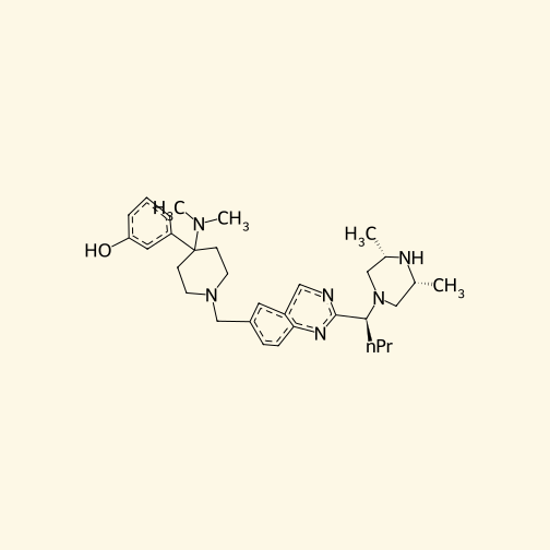 CCC[C@@H](c1ncc2cc(CN3CCC(c4cccc(O)c4)(N(C)C)CC3)ccc2n1)N1C[C@@H](C)N[C@@H](C)C1